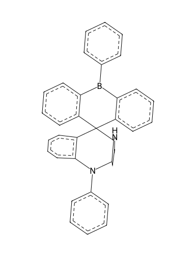 c1ccc(B2c3ccccc3C3(c4ccccc42)c2ccccc2N(c2ccccc2)C2CCCNC23)cc1